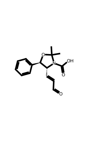 CC1(C)O[C@H](c2ccccc2)[C@@H](/C=C/C=O)N1C(=O)O